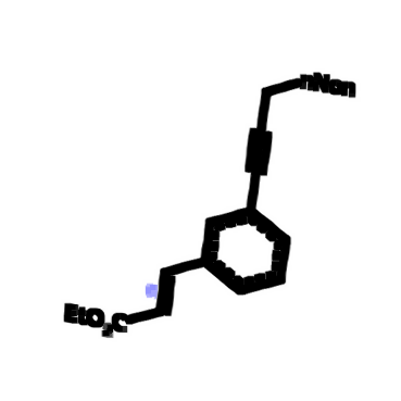 CCCCCCCCCCC#Cc1cccc(/C=C/C(=O)OCC)c1